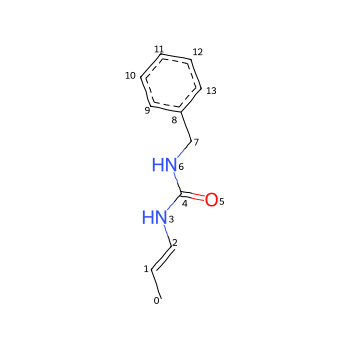 C/C=C/NC(=O)NCc1ccccc1